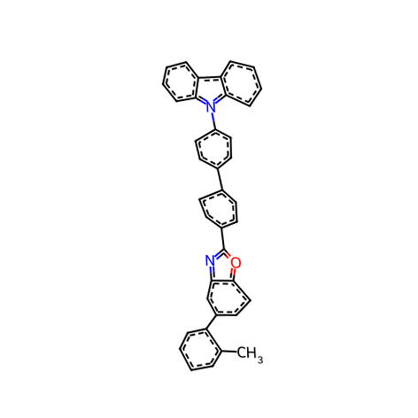 Cc1ccccc1-c1ccc2oc(-c3ccc(-c4ccc(-n5c6ccccc6c6ccccc65)cc4)cc3)nc2c1